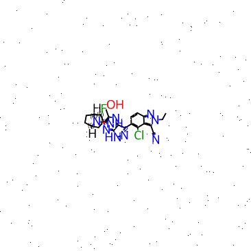 CCn1nc2ccc(-c3n[nH]c4nc(N5[C@H]6CC[C@@H]5[C@@H](F)[C@@H](N)C6)c(CO)nc34)c(Cl)c2c1C#N